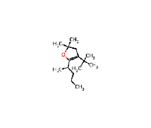 CCCC(C)C1=C(C(C)(C)C)CC(C)(C)O1